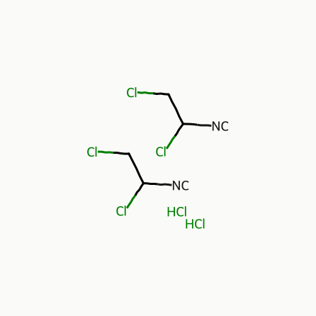 Cl.Cl.[C-]#[N+]C(Cl)CCl.[C-]#[N+]C(Cl)CCl